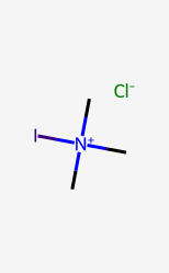 C[N+](C)(C)I.[Cl-]